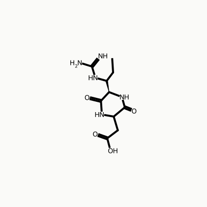 CCC(NC(=N)N)[C@H]1NC(=O)C(CC(=O)O)NC1=O